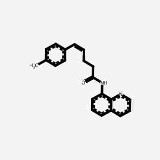 Cc1ccc(/C=C\CCC(=O)Nc2cccc3cccnc23)cc1